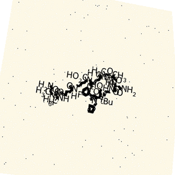 C[C@H](NC(=O)[C@H](C)NC(=O)CCCC(=O)NCCCC[C@H](NC(=O)CCCC(=O)N[C@@H](C)C(=O)N[C@@H](C)C(=O)N[C@@H](CC(N)=O)C(=O)NCCCN(C(=O)CO)[C@@H](c1cc(-c2cc(F)ccc2F)cn1Cc1ccccc1)C(C)(C)C)C(=O)O)C(N)=O